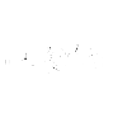 CC(=O)CC1CC2COCC(CN(C(=O)OC(C)(C)C)C2)C1O